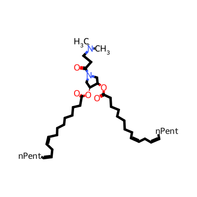 CCCCC/C=C\C/C=C\CCCCCCCC(=O)OC1CN(C(=O)CCN(C)C)C[C@H]1OC(=O)CCCCCCC/C=C\C/C=C\CCCCC